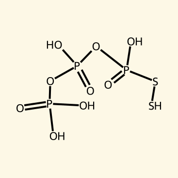 O=P(O)(O)OP(=O)(O)OP(=O)(O)SS